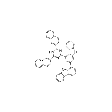 c1ccc2cc(C3=NC(c4cc(-c5cccc6c5oc5ccccc56)cc5oc6ccccc6c45)=NC(c4ccc5ccccc5c4)N3)ccc2c1